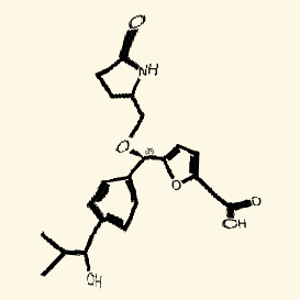 CC(C)C(O)c1ccc([C@@H](OCC2CCC(=O)N2)c2ccc(C(=O)O)o2)cc1